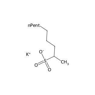 CCCCCCCCC(C)S(=O)(=O)[O-].[K+]